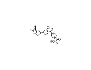 CN1Cc2ccc(-c3ccc(C(=O)N4CCN(C(=O)C5(O)CC5)CC4)c(Cl)c3)cc2N1